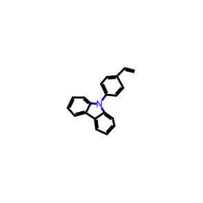 C=Cc1ccc(-n2c3ccccc3c3ccccc32)cc1